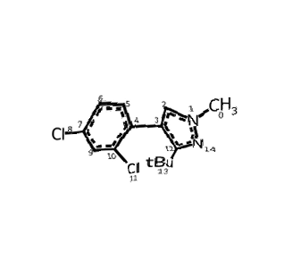 Cn1cc(-c2ccc(Cl)cc2Cl)c(C(C)(C)C)n1